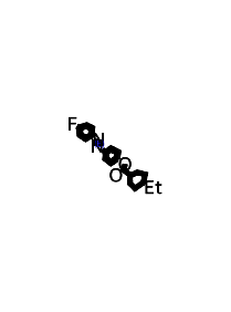 CCC1CCC(C(=O)Oc2ccc(/N=N/c3ccc(F)cc3)cc2)CC1